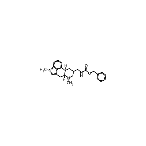 CN1CC(CNC(=O)OCc2ccccc2)C[C@@H]2c3cccc4c3c(cn4C)C[C@H]21